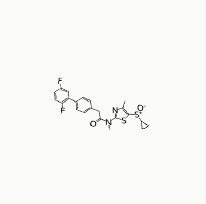 Cc1nc(N(C)C(=O)Cc2ccc(-c3cc(F)ccc3F)cc2)sc1[S+]([O-])C1CC1